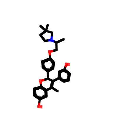 CC1=C(c2cccc(O)c2)C(c2ccc(OCC(C)N3CCC(C)(C)C3)cc2)Oc2ccc(O)cc21